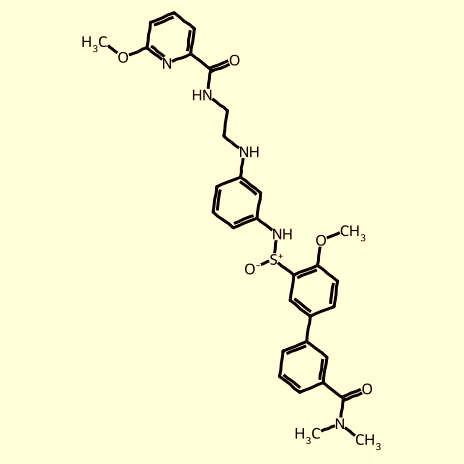 COc1cccc(C(=O)NCCNc2cccc(N[S+]([O-])c3cc(-c4cccc(C(=O)N(C)C)c4)ccc3OC)c2)n1